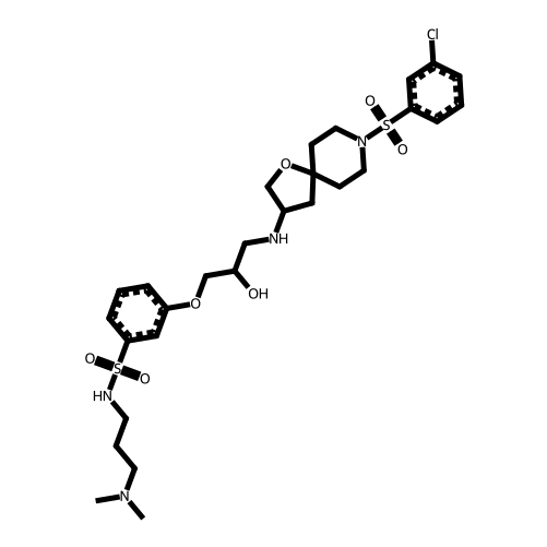 CN(C)CCCNS(=O)(=O)c1cccc(OCC(O)CNC2COC3(CCN(S(=O)(=O)c4cccc(Cl)c4)CC3)C2)c1